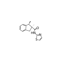 C[C@@H]1c2ccccc2C[C@]1(C)C(=O)Nc1nccs1